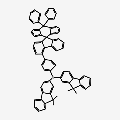 CC1(C)c2ccccc2-c2ccc(N(c3ccc(-c4cccc5c4-c4ccccc4C54c5ccccc5C(c5ccccc5)(c5ccccc5)c5ccccc54)cc3)c3ccc4c(c3)C(C)(C)c3ccccc3-4)cc21